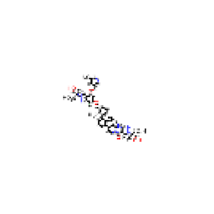 Cc1c(COc2cc(OCc3cncc(C#N)c3)c(CNC(C)(CO)C(=O)O)cc2Cl)cccc1-c1cccc(-c2ccn3c(=O)c(CNC(C)(CO)C(=O)O)cnc3c2)c1C